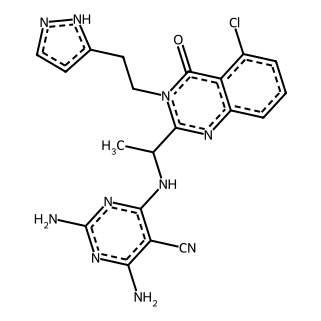 CC(Nc1nc(N)nc(N)c1C#N)c1nc2cccc(Cl)c2c(=O)n1CCc1ccn[nH]1